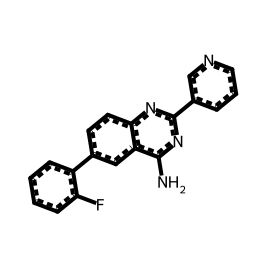 Nc1nc(-c2cccnc2)nc2ccc(-c3ccccc3F)cc12